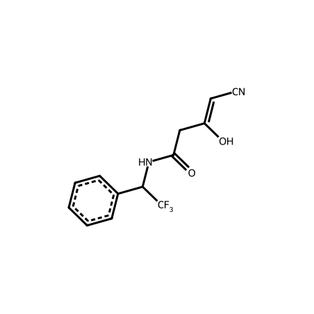 N#CC=C(O)CC(=O)NC(c1ccccc1)C(F)(F)F